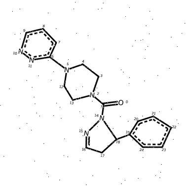 O=C(N1CCN(c2cccnn2)CC1)N1N=CCC1c1ccccc1